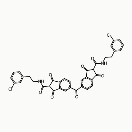 O=C(c1ccc2c(c1)C(=O)C(C(=O)NCCc1cccc(Cl)c1)C2=O)c1ccc2c(c1)C(=O)C(C(=O)NCCc1cccc(Cl)c1)C2=O